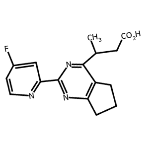 CC(CC(=O)O)c1nc(-c2cc(F)ccn2)nc2c1CCC2